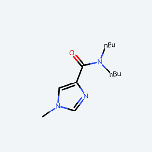 CCCCN(CCCC)C(=O)c1cn(C)cn1